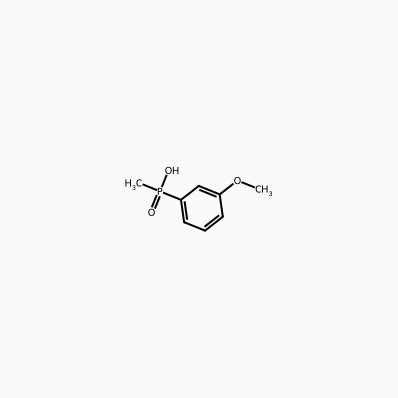 COc1cccc(P(C)(=O)O)c1